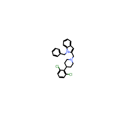 Clc1cccc(Cl)c1C1CCN(Cc2cc3ccccc3n2Cc2ccccc2)CC1